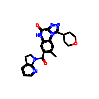 Cc1cc2c(cc1C(=O)N1CCc3cccnc31)[nH]c(=O)c1nnc(C3CCOCC3)n12